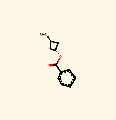 CO[C@H]1C[C@H](OC(=O)c2ccccc2)C1